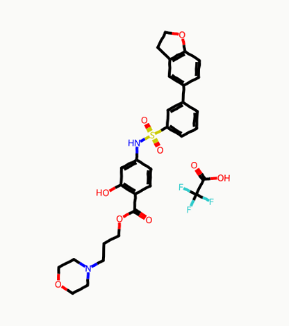 O=C(O)C(F)(F)F.O=C(OCCCN1CCOCC1)c1ccc(NS(=O)(=O)c2cccc(-c3ccc4c(c3)CCO4)c2)cc1O